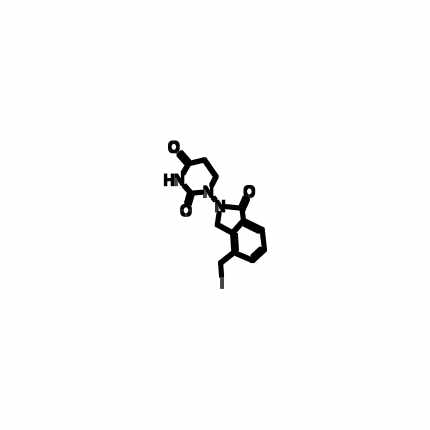 O=C1CCN(N2Cc3c(CI)cccc3C2=O)C(=O)N1